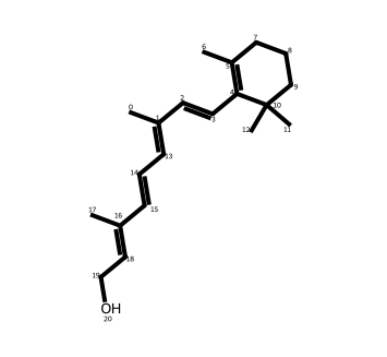 CC(C=CC1=C(C)CCCC1(C)C)=CC=C/C(C)=C/CO